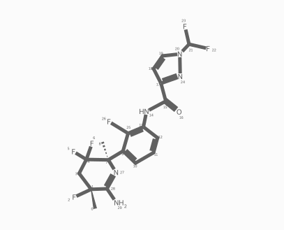 C[C@@]1(F)CC(F)(F)[C@@](C)(c2cccc(NC(=O)c3ccn(C(F)F)n3)c2F)N=C1N